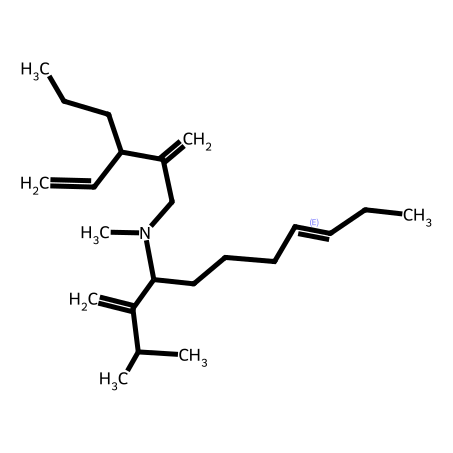 C=CC(CCC)C(=C)CN(C)C(CCC/C=C/CC)C(=C)C(C)C